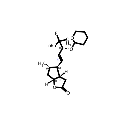 CCCCC(C)(F)[C@@H](/C=C/[C@H]1[C@@H]2CC(=O)O[C@@H]2C[C@@H]1C)OC1CCCCO1